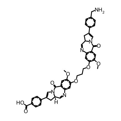 COc1cc2c(cc1OCCCOc1cc3c(cc1OC)C(=O)N1C=C(c4ccc(C(=O)O)cc4)C[C@H]1C=N3)N=CC1CC(c3ccc(CN)cc3)=CN1C2=O